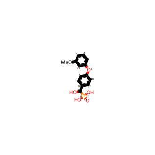 COc1cccc(Oc2ccc(C(O)P(=O)(O)O)cc2)c1